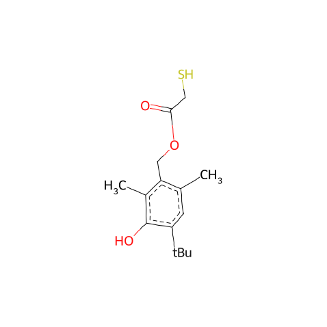 Cc1cc(C(C)(C)C)c(O)c(C)c1COC(=O)CS